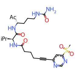 CC(=O)[C@H](CCCNC(N)=O)NC(=O)[C@@H](NC(=O)CCCC#Cc1cc(S(C)(=O)=O)ncn1)C(C)C